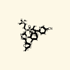 COc1cccc(OC)c1-n1c(-c2ccc(C)o2)nnc1N(CC[Si](C)(C)C)S(=O)(=O)C(C)C(O)c1ccc(C#N)cn1